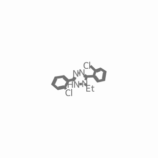 CCN1NC(c2ccccc2Cl)=NN=C1c1ccccc1Cl